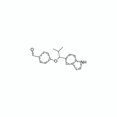 CC(C)C(Oc1ccc(C=O)cc1)c1ccc2[nH]ccc2c1